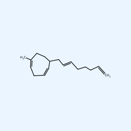 C=CCCCC=CCC1C=CCC=C(C)CC1